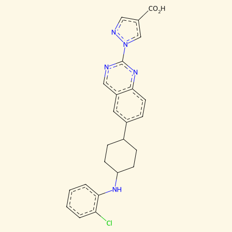 O=C(O)c1cnn(-c2ncc3cc(C4CCC(Nc5ccccc5Cl)CC4)ccc3n2)c1